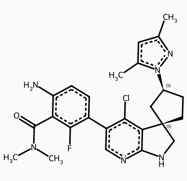 Cc1cc(C)n([C@H]2CC[C@]3(CNc4ncc(-c5ccc(N)c(C(=O)N(C)C)c5F)c(Cl)c43)C2)n1